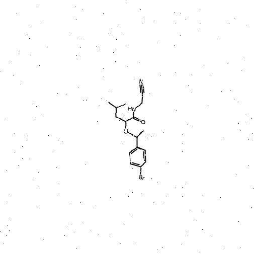 CC(C)CC(OC(C)c1ccc(Br)cc1)C(=O)NCC#N